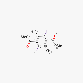 COC(=O)c1c(C)c(I)c(C(=O)OC)c(C)c1I